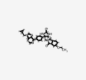 CCOc1ccc2c(c1)C(=O)N(C[C@@]1(c3ccc(-c4ncnc5c4ncn5CC4CC4)cc3)NC(=O)NC1=O)C2